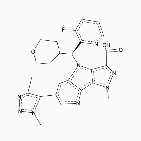 Cc1nnn(C)c1-c1cnc2c3c(c(C(=O)O)nn3C)n([C@H](c3ncccc3F)C3CCOCC3)c2c1